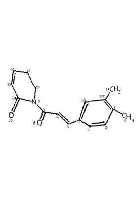 Cc1ccc(/C=C/C(=O)N2CCC=CC2=O)cc1C